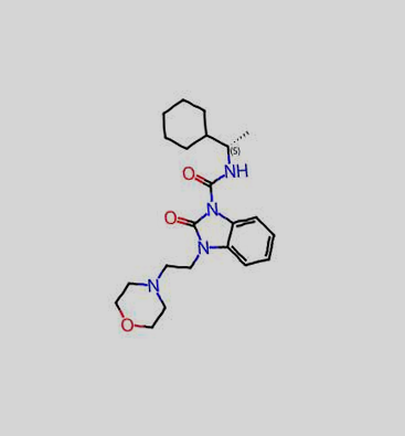 C[C@H](NC(=O)n1c(=O)n(CCN2CCOCC2)c2ccccc21)C1CCCCC1